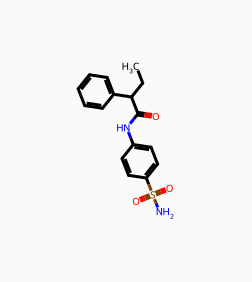 CCC(C(=O)Nc1ccc(S(N)(=O)=O)cc1)c1ccccc1